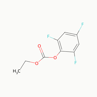 CCOC(=O)Oc1c(F)cc(F)cc1F